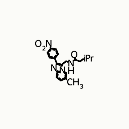 Cc1ccc2nc(-c3ccc([N+](=O)[O-])cc3)c(CNC(=O)CC(C)C)n2c1